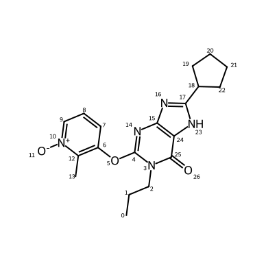 CCCn1c(Oc2ccc[n+]([O-])c2C)nc2nc(C3CCCC3)[nH]c2c1=O